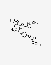 COC(=O)COc1ccc(CC(C)N2CC(c3csc(C)n3)OC2C(=O)OC)cc1